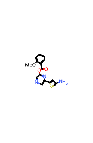 COc1ccccc1C(=O)Oc1cncc(-c2cc(N)cs2)n1